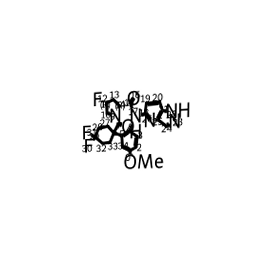 COc1cccc(C2(C(=O)N3C[C@H](F)C[C@@H]3C(=O)Nc3ccc4[nH]ncc4n3)CCC(F)(F)CC2)c1